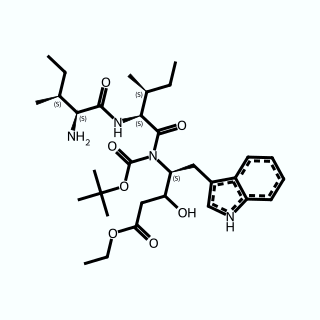 CCOC(=O)CC(O)[C@H](Cc1c[nH]c2ccccc12)N(C(=O)OC(C)(C)C)C(=O)[C@@H](NC(=O)[C@@H](N)[C@@H](C)CC)[C@@H](C)CC